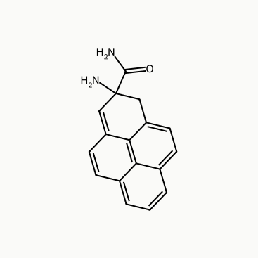 NC(=O)C1(N)C=c2ccc3cccc4ccc(c2c43)C1